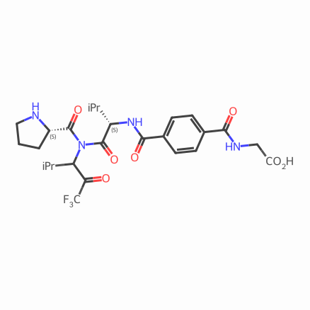 CC(C)C(C(=O)C(F)(F)F)N(C(=O)[C@@H]1CCCN1)C(=O)[C@@H](NC(=O)c1ccc(C(=O)NCC(=O)O)cc1)C(C)C